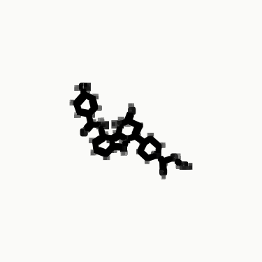 CC(C)(C)OC(=O)N1CCC(c2cc(=O)[nH]c3c4c(NC(=O)c5ccc(C#N)cc5)cccc4nn23)CC1